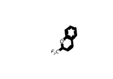 FC(F)(F)C1C=Cc2cc[c]cc2O1